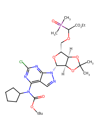 CCOC(=O)C(OC[C@H]1O[C@@H](n2ncc3c(N(C(=O)OC(C)(C)C)C4CCCC4)nc(Cl)nc32)[C@@H]2OC(C)(C)O[C@@H]21)P(C)(C)=O